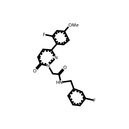 COc1ccc(-c2ccc(=O)n(CC(=O)NCc3cccc(F)c3)n2)c(F)c1